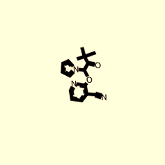 CC(C)(C)C(=O)C(Oc1ncccc1C#N)n1cccc1